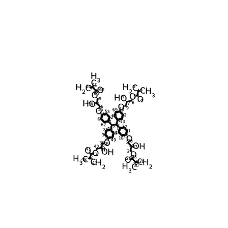 C=C(C)C(=O)OCC(O)COc1ccc(C(c2ccc(OCC(O)COC(=O)C(=C)C)cc2)C(c2ccc(OCC(O)COC(=O)C(=C)C)cc2)c2ccc(OCC(O)COC(=O)C(=C)C)cc2)cc1